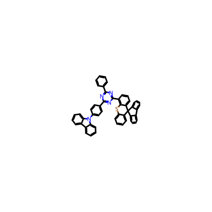 c1ccc(-c2nc(-c3ccc(-n4c5ccccc5c5ccccc54)cc3)nc(-c3cccc4c3Sc3ccccc3C43c4ccccc4-c4ccccc43)n2)cc1